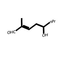 CCCC(O)CC=C(C)C=O